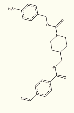 Cc1ccc(COC(=O)N2CCC(CNC(=O)c3ccc(C=O)cc3)CC2)cc1